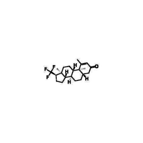 CC1=CC(=O)C[C@@H]2CC[C@H]3[C@@H]4CC[C@@H](C(F)(F)F)[C@@]4(C)CC[C@@H]3[C@@]12C